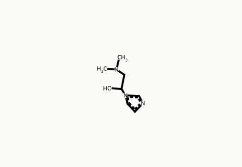 CN(C)CC(O)n1ccnc1